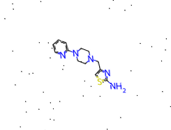 Nc1nc(CN2CCN(c3ccccn3)CC2)cs1